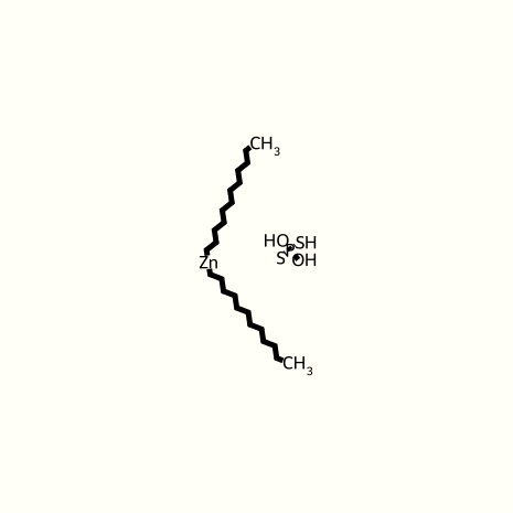 CCCCCCCCCCC[CH2][Zn][CH2]CCCCCCCCCCC.OP(O)(=S)S